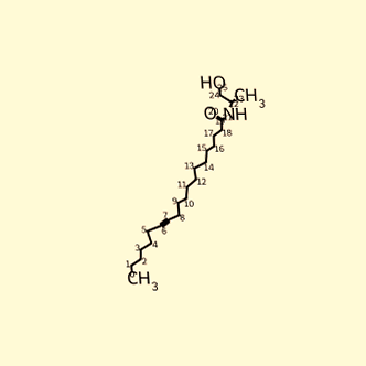 CCCCCCC#CCCCCCCCCCCCC(=O)NC(C)CO